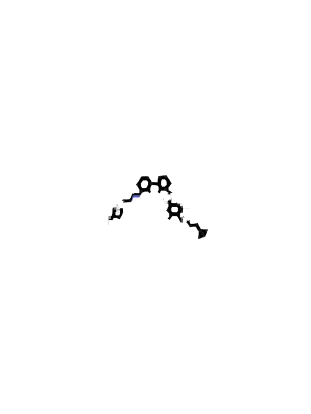 Cc1cc(OCc2cccc(-c3cccc(/C=C/CCN4CCC(F)(F)C4)c3C)c2C)c(Cl)cc1CNCC=C1CCC1